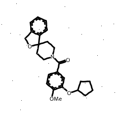 COc1ccc(C(=O)N2CCC3(CC2)OCc2ccccc23)cc1OC1CCCC1